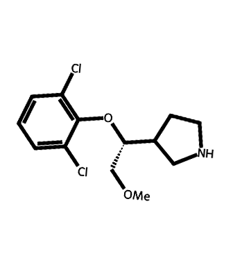 COC[C@H](Oc1c(Cl)cccc1Cl)C1CCNC1